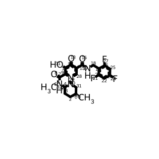 C[C@H]1CC[C@H]2N(C)C(=O)c3c(O)c(=O)c(C(=O)NCc4c(F)cc(F)cc4F)cn3N2C1